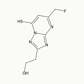 OCCc1nc2nc(CF)cc(S)n2n1